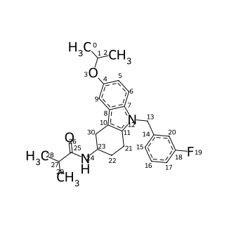 CC(C)Oc1ccc2c(c1)c1c(n2Cc2cccc(F)c2)CCC(NC(=O)C(C)C)C1